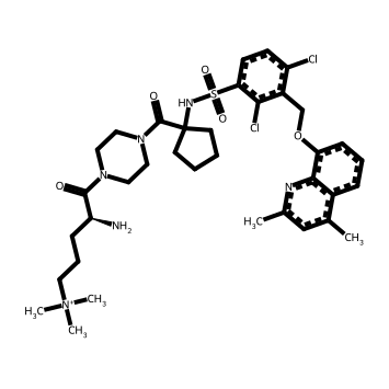 Cc1cc(C)c2cccc(OCc3c(Cl)ccc(S(=O)(=O)NC4(C(=O)N5CCN(C(=O)[C@@H](N)CCC[N+](C)(C)C)CC5)CCCC4)c3Cl)c2n1